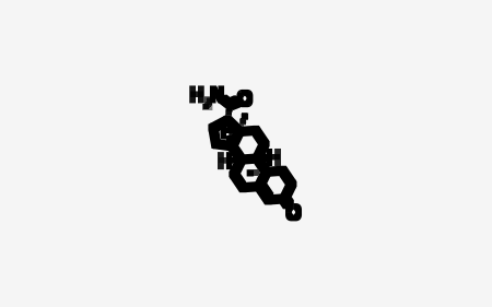 C[C@]12CC[C@H]3[C@@H](CCC4=CC(=O)CC[C@@]43C)[C@@H]1CC[C@@H]2C(N)=O